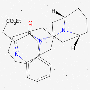 CCOC(=O)Cc1nc2ccccc2n([C@H]2C[C@H]3CCC[C@@H](C2)N3C2CC3CCCCC(C3)C2)c1=O